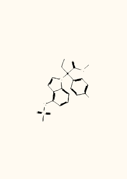 CCC(C(=O)NC)(c1ccc(Cl)cc1)n1ccc2c(NS(C)(=O)=O)cccc21